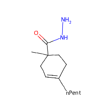 CCCCCC1=CCC(C)(C(=O)NN)CC1